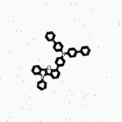 c1ccc(-c2ccc(N(c3ccc(-c4ccccc4)cc3)c3ccc(-c4cccc5c4oc4c6ccccc6n(-c6ccccc6)c54)cc3)cc2)cc1